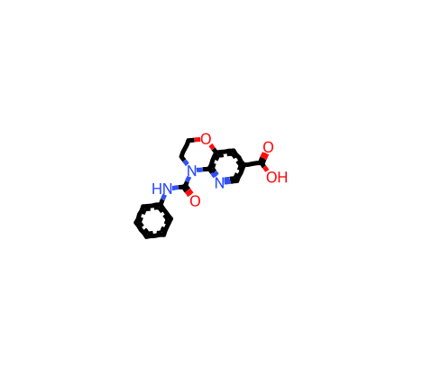 O=C(O)c1cnc2c(c1)OCCN2C(=O)Nc1ccccc1